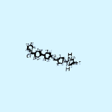 CCC1=CNC(N2CCC(COc3ccc(C4=CCC(C(=O)N5CCCC5)CC4)cc3)CC2)NC1